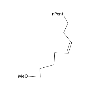 CCCCCCC/C=C\CCCCOC